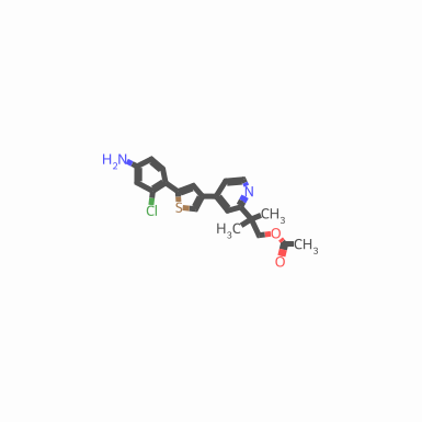 CC(=O)OCC(C)(C)c1cc(-c2csc(-c3ccc(N)cc3Cl)c2)ccn1